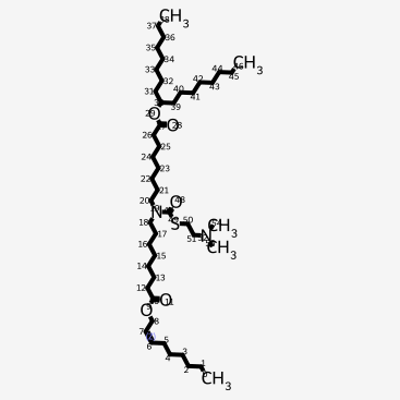 CCCCCC/C=C\COC(=O)CCCCCCCN(CCCCCCCC(=O)OC(CCCCCCCC)CCCCCCCC)C(=O)SCCN(C)C